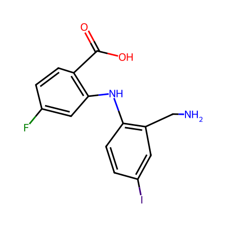 NCc1cc(I)ccc1Nc1cc(F)ccc1C(=O)O